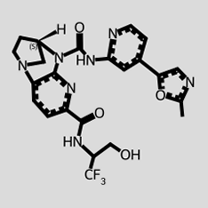 Cc1ncc(-c2ccnc(NC(=O)N3c4nc(C(=O)NC(CO)C(F)(F)F)ccc4N4CC[C@H]3C4)c2)o1